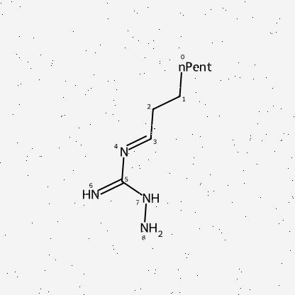 CCCCCCCC=NC(=N)NN